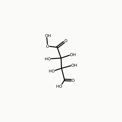 O=C(O)C(O)(O)C(O)(O)C(=O)OO